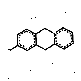 Fc1ccc2c(c1)Cc1ccccc1C2